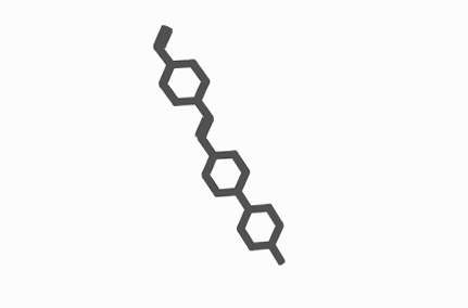 C=CC1CCC(/C=C/C2CCC(C3CCC(C)CC3)CC2)CC1